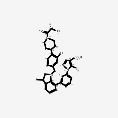 CCc1cc(CN2CC(C)c3cccc(-c4cccc(-n5ncc(C(=O)O)c5CC)n4)c32)ccc1C1CCN(C(=O)[C@H](C)O)CC1